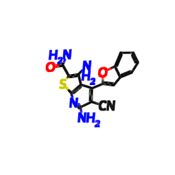 N#Cc1c(N)nc2sc(C(N)=O)c(N)c2c1-c1cc2ccccc2o1